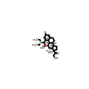 CCN(CC)C(C(=O)O)C1=CC(=O)C=C2CC[C@@H]3[C@H]([C@@H](O)C[C@@]4(C)[C@H]3CC[C@]4(O)C(=O)CO)[C@]21C